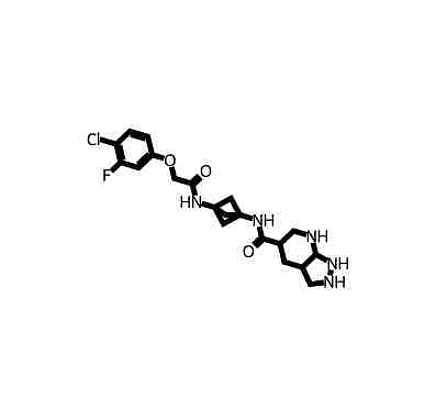 O=C(COc1ccc(Cl)c(F)c1)NC12CC(NC(=O)C3CNC4NNCC4C3)(C1)C2